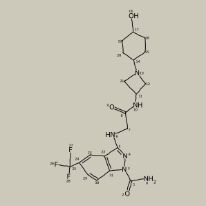 NC(=O)n1nc(NCC(=O)NC2CN(C3CCC(O)CC3)C2)c2cc(C(F)(F)F)ccc21